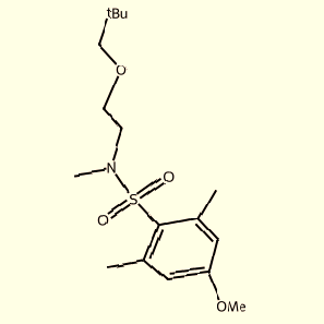 COc1cc(C)c(S(=O)(=O)N(C)CCOCC(C)(C)C)c(C)c1